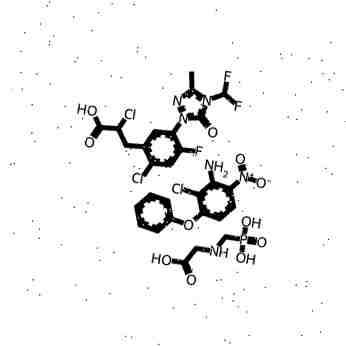 Cc1nn(-c2cc(CC(Cl)C(=O)O)c(Cl)cc2F)c(=O)n1C(F)F.Nc1c([N+](=O)[O-])ccc(Oc2ccccc2)c1Cl.O=C(O)CNCP(=O)(O)O